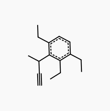 [C]#CC(C)c1c(CC)ccc(CC)c1CC